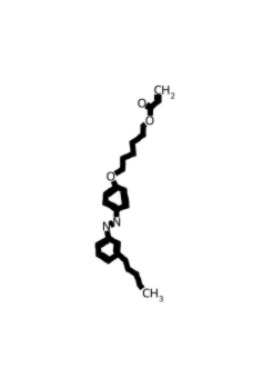 C=CC(=O)OCCCCCCOc1ccc(N=Nc2cccc(CCCCC)c2)cc1